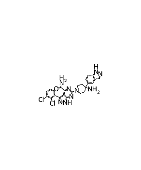 NC(=O)c1nc(N2CCC(N)(c3ccc4[nH]ncc4c3)CC2)nc2[nH]nc(-c3cccc(Cl)c3Cl)c12